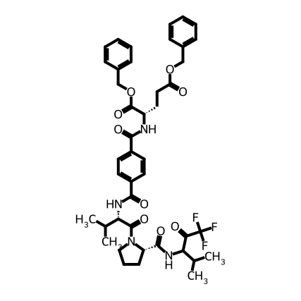 CC(C)C(NC(=O)[C@@H]1CCCN1C(=O)[C@@H](NC(=O)c1ccc(C(=O)N[C@@H](CCC(=O)OCc2ccccc2)C(=O)OCc2ccccc2)cc1)C(C)C)C(=O)C(F)(F)F